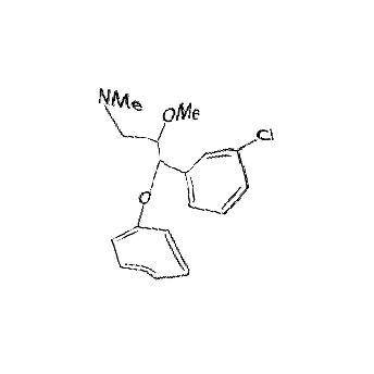 CNCC(OC)C(Oc1ccccc1)c1cccc(Cl)c1